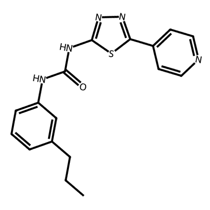 CCCc1cccc(NC(=O)Nc2nnc(-c3ccncc3)s2)c1